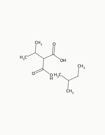 CC(C)C(C(=O)O)C(=O)O.CCC(C)C